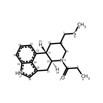 CCC(=O)N1CC(CSC)C[C@H]2c3cccc4[nH]cc(c34)C[C@@H]21